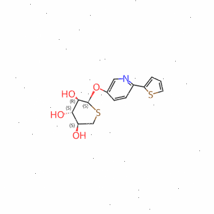 O[C@@H]1[C@@H](O)[C@@H](Oc2ccc(-c3cccs3)nc2)SC[C@H]1O